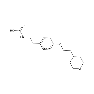 O=C(O)NCCc1ccc(OCCN2CCOCC2)cc1